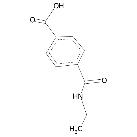 CCNC(=O)c1ccc(C(=O)O)cc1